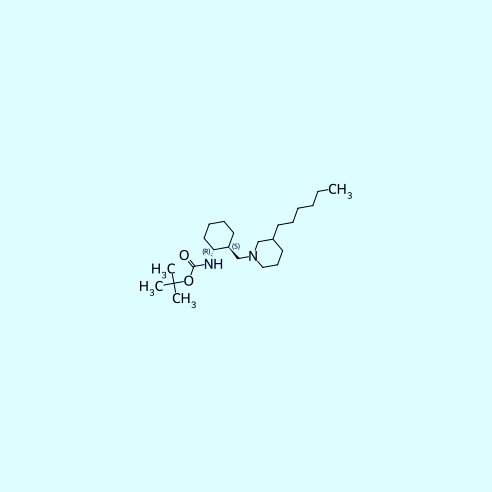 CCCCCCC1CCCN(C[C@@H]2CCCC[C@H]2NC(=O)OC(C)(C)C)C1